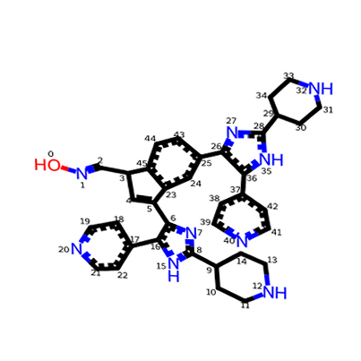 ON=CC1C=C(c2nc(C3CCNCC3)[nH]c2-c2ccncc2)c2cc(-c3nc(C4CCNCC4)[nH]c3-c3ccncc3)ccc21